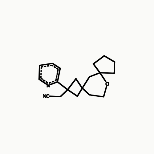 N#CCC1(c2ccccn2)CC2(CCOC3(CCCC3)C2)C1